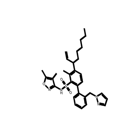 C=CC(CCCCCC)c1ccc(-c2ccccc2Cn2cccn2)c(S(=O)(=O)Nc2noc(C)c2C)c1C